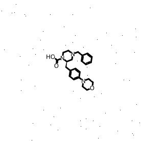 O=C(O)N1CCN(Cc2ccccc2)C[C@H]1Cc1ccc(N2CCOCC2)cc1